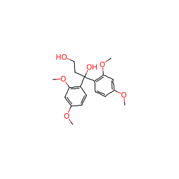 COc1ccc(C(O)(CCO)c2ccc(OC)cc2OC)c(OC)c1